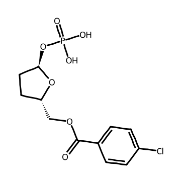 O=C(OC[C@@H]1CC[C@@H](OP(=O)(O)O)O1)c1ccc(Cl)cc1